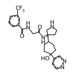 O=C(CNC(=O)c1cccc(C(F)(F)F)c1)N[C@@]1(C2CCC(O)(c3ccnnc3)CC2)CCNC1